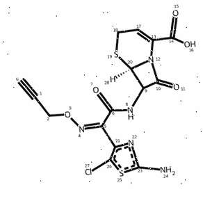 C#CCO/N=C(\C(=O)NC1C(=O)N2C(C(=O)O)=CCS[C@H]12)c1nc(N)sc1Cl